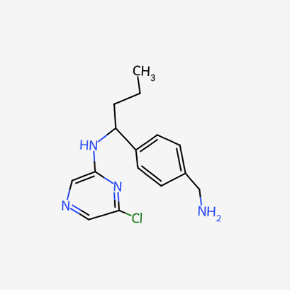 CCCC(Nc1cncc(Cl)n1)c1ccc(CN)cc1